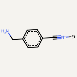 CC[N+]#Cc1ccc(CN)cc1